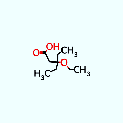 CCOC(CC)(CC)CC(=O)O